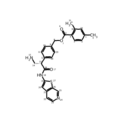 Cc1ccc(C(=O)OCc2ccc([C@@H](CN)C(=O)Nc3cc4ccncc4s3)cc2)c(C)c1